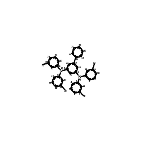 Cc1cccc(N(c2cccc(C)c2)c2cc(-c3ccccc3)cc(N(c3cccc(C)c3)c3cccc(C)c3)c2)c1